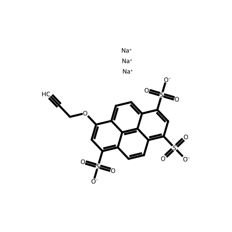 C#CCOc1cc(S(=O)(=O)[O-])c2ccc3c(S(=O)(=O)[O-])cc(S(=O)(=O)[O-])c4ccc1c2c43.[Na+].[Na+].[Na+]